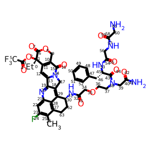 CC[C@@]1(OC(=O)C(F)(F)F)C(=O)OCc2c1cc1n(c2=O)Cc2c-1nc1cc(F)c(C)c3c1c2[C@@H](NC(=O)COCCN(CC(N)=O)C(=O)[C@H](Cc1ccccc1)NC(=O)CNC(=O)CN)CC3